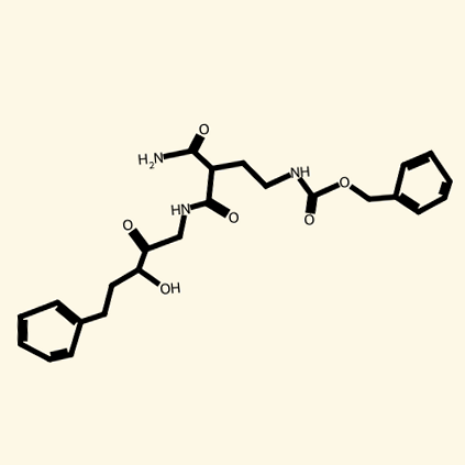 NC(=O)C(CCNC(=O)OCc1ccccc1)C(=O)NCC(=O)C(O)CCc1ccccc1